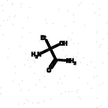 CCC(N)(O)C(N)=O